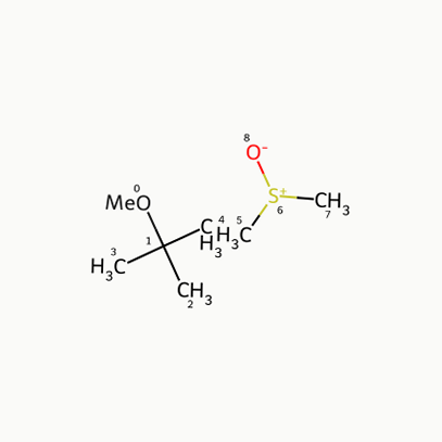 COC(C)(C)C.C[S+](C)[O-]